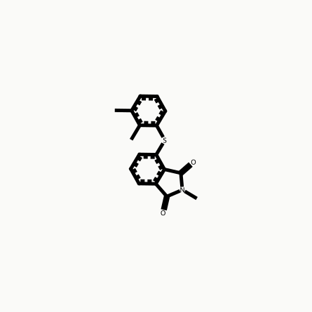 Cc1cccc(Sc2cccc3c2C(=O)N(C)C3=O)c1C